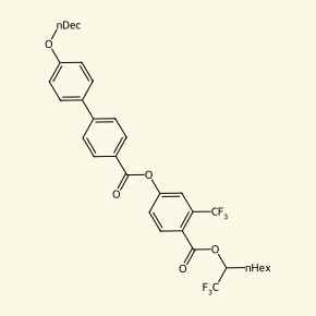 CCCCCCCCCCOc1ccc(-c2ccc(C(=O)Oc3ccc(C(=O)OC(CCCCCC)C(F)(F)F)c(C(F)(F)F)c3)cc2)cc1